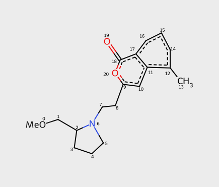 COCC1CCCN1CCc1cc2c(C)cccc2c(=O)o1